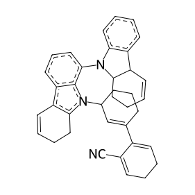 N#CC1=CCCC=C1C1=CC(n2c3c(c4cccc(N5c6ccccc6C6C=CCCC65)c42)C=CCC3)CCC1